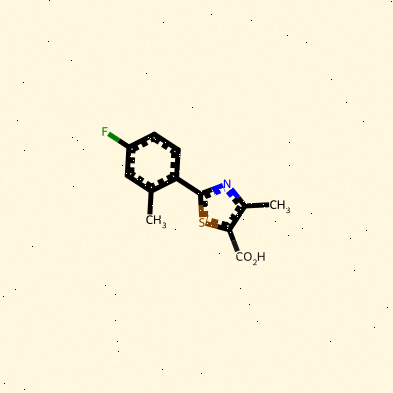 Cc1cc(F)ccc1-c1nc(C)c(C(=O)O)s1